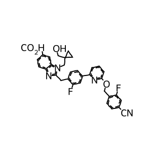 N#Cc1ccc(COc2cccc(-c3ccc(Cc4nc5ccc(C(=O)O)cc5n4CC4(CO)CC4)c(F)c3)n2)c(F)c1